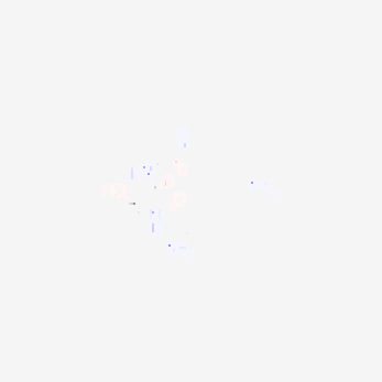 CC[C@H](C)[C@H](N)C(=O)N[C@@H](CO)C(=O)N[C@H](C(=O)N[C@@H](CCCCN)C(=O)O)C(C)C